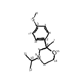 CSc1ccc(C2(C)CN(C(C)C)CCO2)cc1